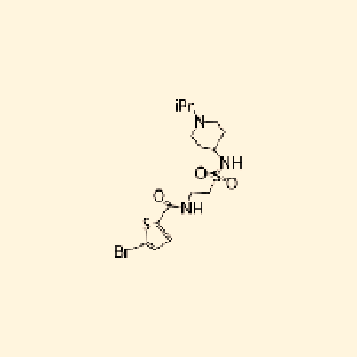 CC(C)N1CCC(NS(=O)(=O)CCNC(=O)c2ccc(Br)s2)CC1